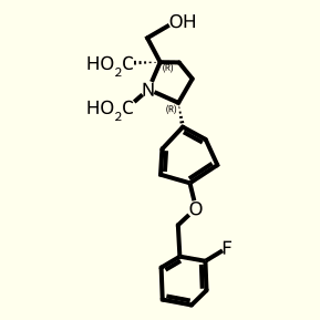 O=C(O)N1[C@@H](c2ccc(OCc3ccccc3F)cc2)CC[C@@]1(CO)C(=O)O